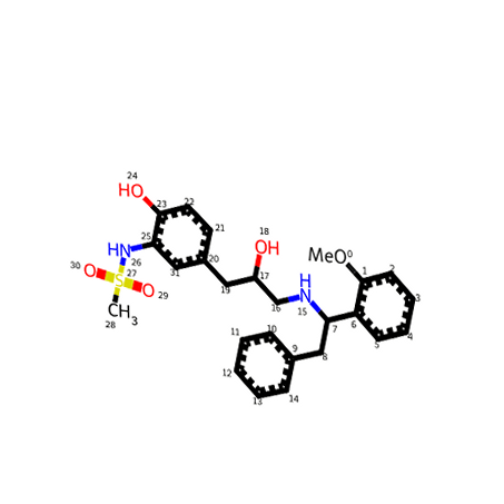 COc1ccccc1C(Cc1ccccc1)NCC(O)Cc1ccc(O)c(NS(C)(=O)=O)c1